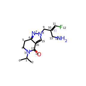 CC(C)N1CCc2nn(C/C(=C/F)CN)cc2C1=O